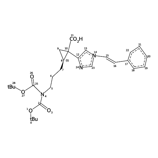 CC(C)(C)OC(=O)N(CCC[C@H]1CC1(C(=O)O)c1cn(C=Cc2ccccc2)cn1)C(=O)OC(C)(C)C